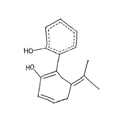 CC(C)=C1CC=CC(O)=C1c1ccccc1O